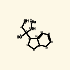 CC(C)(C)NC(O)(CO)C1CCC2CC=CC=C21